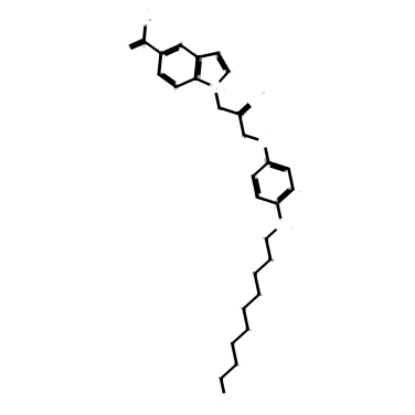 CCCCCCCCCCOc1ccc(OCC(=O)Cn2ccc3cc(C(=O)O)ccc32)cc1